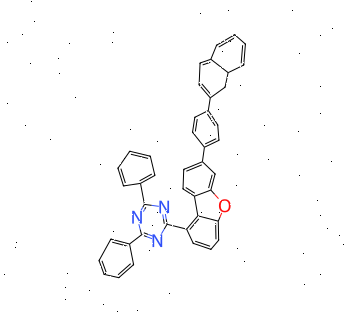 C1=CC2=CC=C(c3ccc(-c4ccc5c(c4)oc4cccc(-c6nc(-c7ccccc7)nc(-c7ccccc7)n6)c45)cc3)CC2C=C1